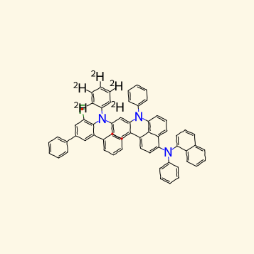 [2H]c1c([2H])c([2H])c(N(c2ccc3c(c2)N(c2ccccc2)c2cccc4c(N(c5ccccc5)c5cccc6ccccc56)ccc-3c24)c2c(F)cc(-c3ccccc3)cc2-c2ccccc2)c([2H])c1[2H]